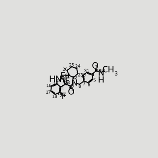 CNC(=O)c1ccc(CN(C(=O)c2c[nH]c3cccc(F)c23)C2CCCCC2(F)F)cc1